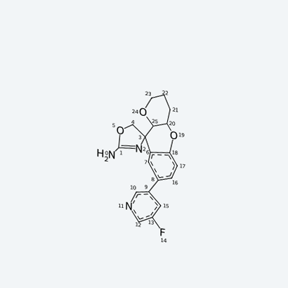 NC1=NC2(CO1)c1cc(-c3cncc(F)c3)ccc1OC1CCCOC12